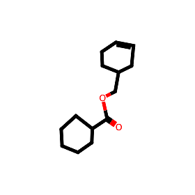 O=C(OCC1CC=CCC1)C1CCCCC1